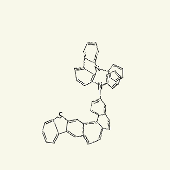 c1ccc(N(c2ccc3c(ccc4ccc5cc6c(cc5c43)sc3ccccc36)c2)c2cccc3c4ccccc4n(-c4ccccc4)c23)cc1